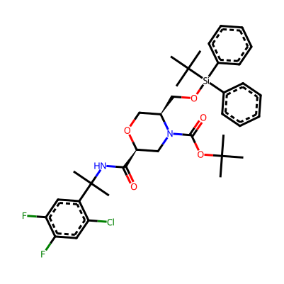 CC(C)(C)OC(=O)N1C[C@@H](C(=O)NC(C)(C)c2cc(F)c(F)cc2Cl)OC[C@H]1CO[Si](c1ccccc1)(c1ccccc1)C(C)(C)C